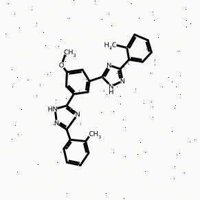 COc1cc(-c2nc(-c3ccccc3C)n[nH]2)cc(-c2nc(-c3ccccc3C)n[nH]2)c1